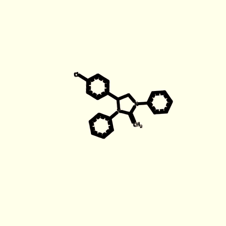 C=C1N(c2ccccc2)CC(c2ccc(Cl)cc2)N1c1ccccc1